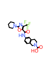 O=C(Nc1ccc2c(c1)CCN(C(=O)O)C2)c1oc(N2CCCCC2)nc1C(F)(F)F